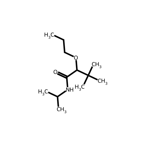 CCCOC(C(=O)NC(C)C)C(C)(C)C